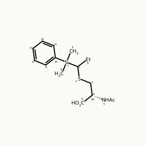 CCC(SC[C@H](NC(C)=O)C(=O)O)[Si](C)(C)c1ccccc1